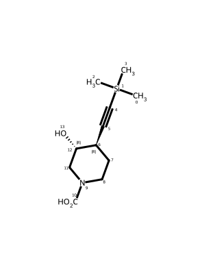 C[Si](C)(C)C#C[C@H]1CCN(C(=O)O)C[C@@H]1O